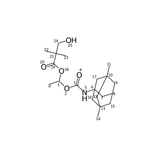 CC(OC(=O)NC12CC3CC(C)(CC(C)(C3)C1)C2)OC(=O)C(C)(C)CO